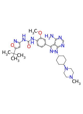 COc1cc(-c2nn([C@H]3CC[C@H](N4CCN(C)CC4)CC3)c3ncnc(N)c23)ccc1NC(=O)Nc1cc(C(C)(C)C)on1